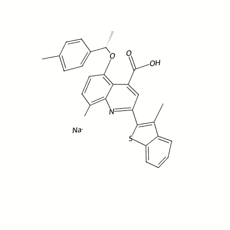 Cc1ccc([C@H](C)Oc2ccc(C)c3nc(-c4sc5ccccc5c4C)cc(C(=O)O)c23)cc1.[Na]